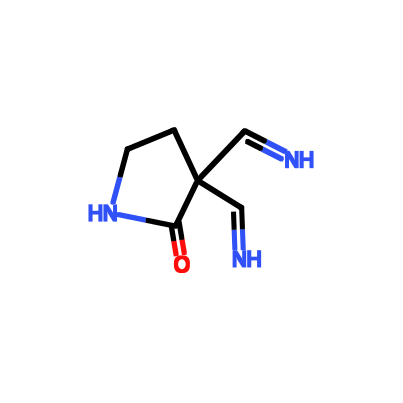 N=CC1(C=N)CCNC1=O